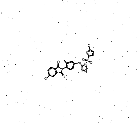 Cc1cc(Nc2nnnn2S(=O)(=O)c2ccc(Cl)s2)ccc1N1C(=O)c2ccc(Cl)cc2C1=O